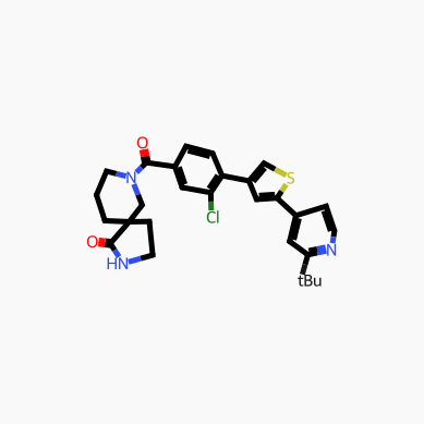 CC(C)(C)c1cc(-c2cc(-c3ccc(C(=O)N4CCCC5(CCNC5=O)C4)cc3Cl)cs2)ccn1